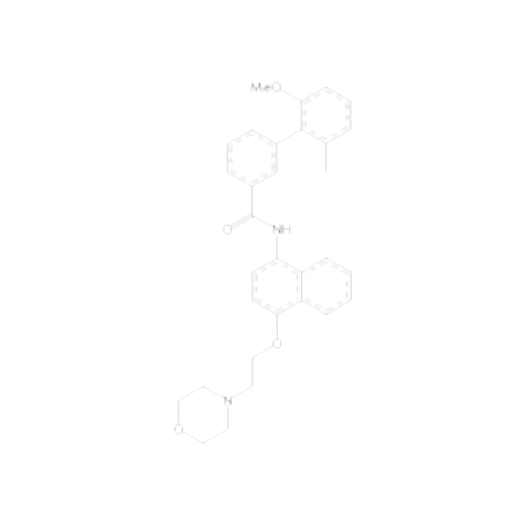 COc1cccc(C)c1-c1cccc(C(=O)Nc2ccc(OCCN3CCOCC3)c3ccccc23)c1